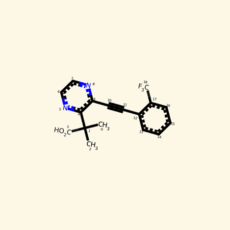 CC(C)(C(=O)O)c1nccnc1C#Cc1ccccc1C(F)(F)F